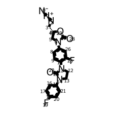 [N-]=[N+]=NC[C@H]1CN(c2ccc(N3CCN(c4ccc(F)cc4)C3=O)c(F)c2)C(=O)O1